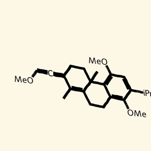 COC=C=C1CCC2(C)C(=C1C)CCc1c(OC)c(C(C)C)cc(OC)c12